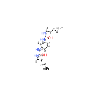 Cc1c(NC(O)NC(C)CCCC(C)C)cccc1NC(O)NC(C)CCCC(C)C